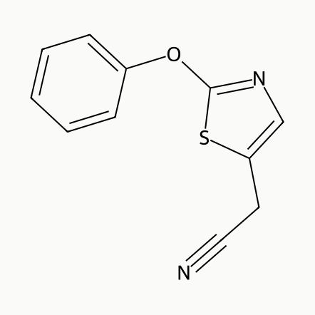 N#CCc1cnc(Oc2ccccc2)s1